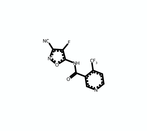 N#Cc1noc(NC(=O)c2cnccc2C(F)(F)F)c1F